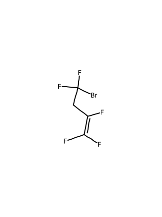 FC(F)=C(F)CC(F)(F)Br